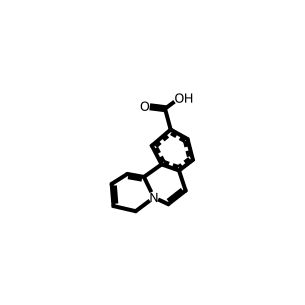 O=C(O)c1ccc2c(c1)C1=CC=CCN1C=C2